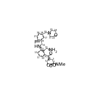 CNC(=O)CB(CC=O)C(=O)c1cccc(NCc2cc(CN3CCOCC3)ccc2F)c1CN